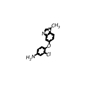 Cn1cnc2cc(Oc3ccc(N)cc3Cl)ccc21